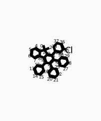 CC1(C)c2ccccc2-c2c(-c3ccccc3)c(-c3ccccc3)c(-c3ccccc3)c(C3=CC(Cl)=CCC3)c21